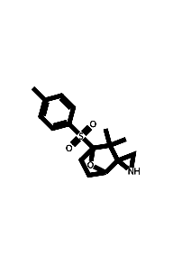 Cc1ccc(S(=O)(=O)C23CCC(O2)C2(CN2)C3(C)C)cc1